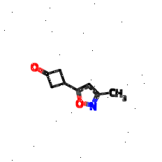 Cc1cc(C2CC(=O)C2)on1